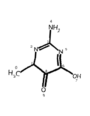 CC1N=C(N)N=C(O)C1=O